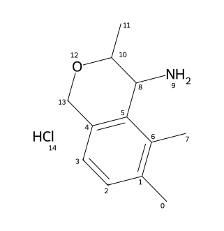 Cc1ccc2c(c1C)C(N)C(C)OC2.Cl